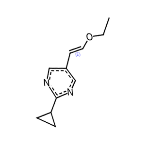 CCO/C=C/c1cnc(C2CC2)nc1